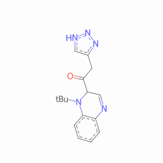 CC(C)(C)N1c2ccccc2N=CC1C(=O)Cc1c[nH]nn1